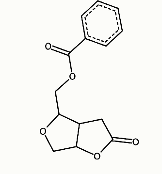 O=C1CC2C(COC(=O)c3ccccc3)OCC2O1